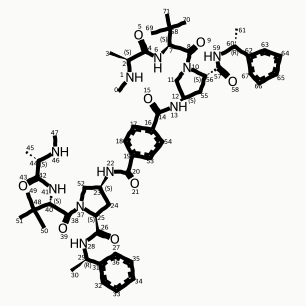 CN[C@@H](C)C(=O)N[C@H](C(=O)N1C[C@@H](NC(=O)c2ccc(C(=O)N[C@H]3C[C@@H](C(=O)N[C@H](C)c4ccccc4)N(C(=O)[C@@H](NC(=O)[C@H](C)NC)C(C)(C)C)C3)cc2)C[C@H]1C(=O)N[C@H](C)c1ccccc1)C(C)(C)C